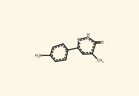 Cc1cc(-c2ccc(N)cc2)n[nH]c1=O